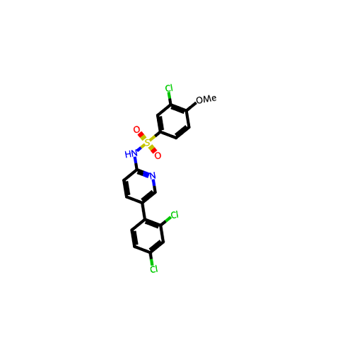 COc1ccc(S(=O)(=O)Nc2ccc(-c3ccc(Cl)cc3Cl)cn2)cc1Cl